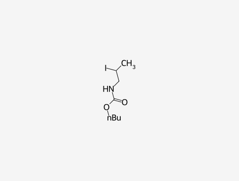 CCCCOC(=O)NCC(C)I